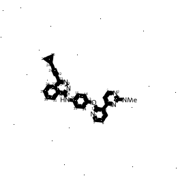 CNc1nccc(-c2cccnc2Oc2ccc(Nc3nnc(C#CC4CC4)c4ccccc34)cc2)n1